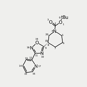 CC(C)(C)OC(=O)N1CCC[C@H](c2nc(-c3ccccn3)no2)C1